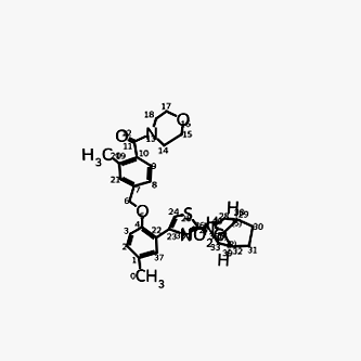 Cc1ccc(OCc2ccc(C(=O)N3CCOCC3)c(C)c2)c(-c2csc(N3C[C@H]4CC[C@@H](C3)[C@H]4C(=O)O)n2)c1